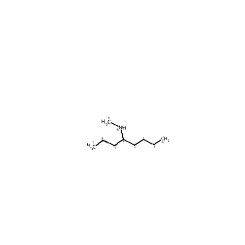 CCC[CH]C(CCC)NC